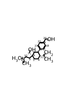 C=C(C)[C@@H]1CC[C@@](CO)(CCN(C)C)C[C@H]1c1ccc(CO)cc1